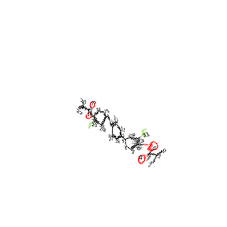 C=C(C)C(=O)OC1=CCC(c2ccc(-c3ccc(OC(=O)C(=C)C)c(F)c3)cc2)C=C1F